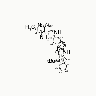 Cc1cc(N)c2cc(Nc3ccc4nc(N[C@@H](Cc5ccccc5)C(=O)OC(C)(C)C)sc4c3)ccc2n1